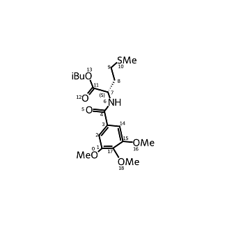 COc1cc(C(=O)N[C@@H](CCSC)C(=O)OCC(C)C)cc(OC)c1OC